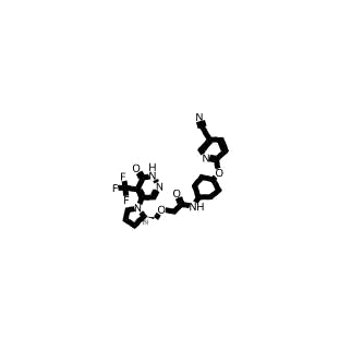 N#Cc1ccc(OC2CCC(NC(=O)COC[C@@H]3CCCN3c3cn[nH]c(=O)c3C(F)(F)F)CC2)nc1